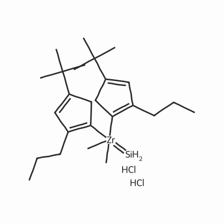 CCCC1=[C]([Zr]([CH3])([CH3])(=[SiH2])[C]2=C(CCC)C=C(C(C)(C)C)C2)CC(C(C)(C)C)=C1.Cl.Cl